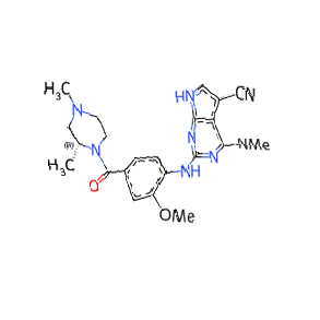 CNc1nc(Nc2ccc(C(=O)N3CCN(C)C[C@H]3C)cc2OC)nc2[nH]cc(C#N)c12